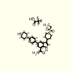 CCS(=O)(=O)N1CCC(c2c[nH]c3c(C(N)=O)cc(-c4ccc(N5CCNCC5)nc4)cc23)CC1.O=C(O)C(F)(F)F